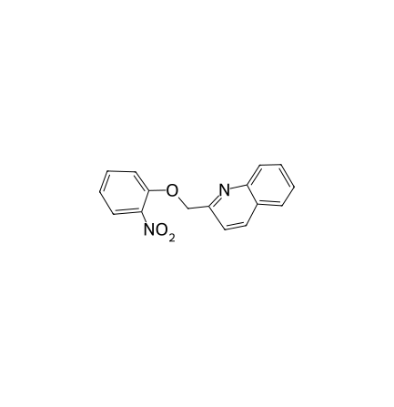 O=[N+]([O-])c1ccccc1OCc1ccc2ccccc2n1